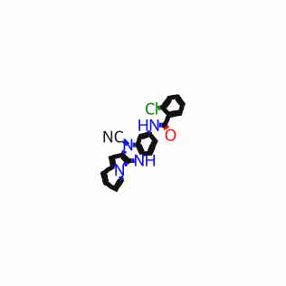 N#CN1c2cc(NC(=O)c3ccccc3Cl)ccc2Nc2c1cc1ccccn21